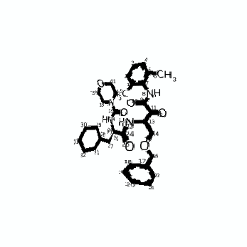 Cc1cccc(C)c1NC(=O)C(=O)C(COCc1ccccc1)NC(=O)[C@@H](CC1CCCCC1)NC(=O)N1CCOCC1